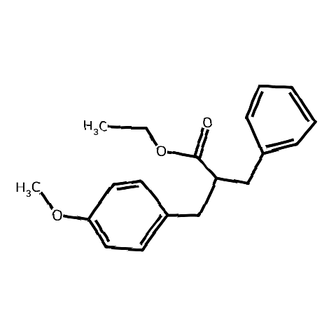 CCOC(=O)C(Cc1ccccc1)Cc1ccc(OC)cc1